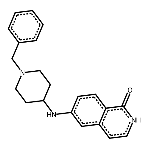 O=c1[nH]ccc2cc(NC3CCN(Cc4ccccc4)CC3)ccc12